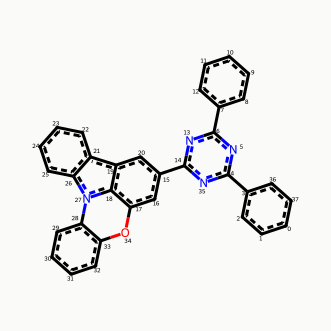 c1ccc(-c2nc(-c3ccccc3)nc(-c3cc4c5c(c3)c3ccccc3n5-c3ccccc3O4)n2)cc1